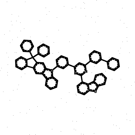 c1ccc(-c2cccc(-c3cc(-c4cccc(-n5c6ccccc6c6cc7c(cc65)C(c5ccccc5)(c5ccccc5)c5ccccc5-7)c4)nc(-c4cccc5oc6ccccc6c45)n3)c2)cc1